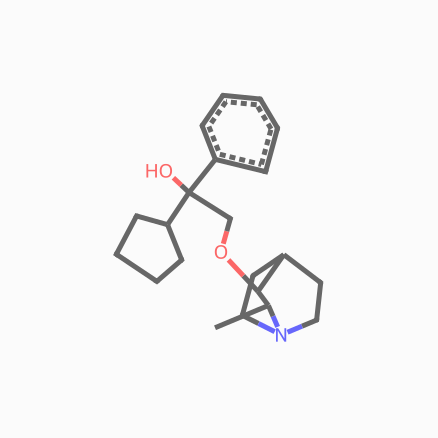 CC1C(OCC(O)(c2ccccc2)C2CCCC2)C2CCN1CC2